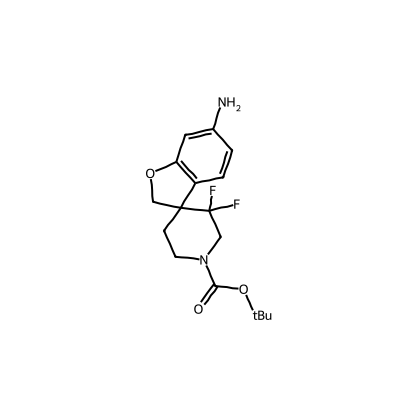 CC(C)(C)OC(=O)N1CCC2(COc3cc(N)ccc32)C(F)(F)C1